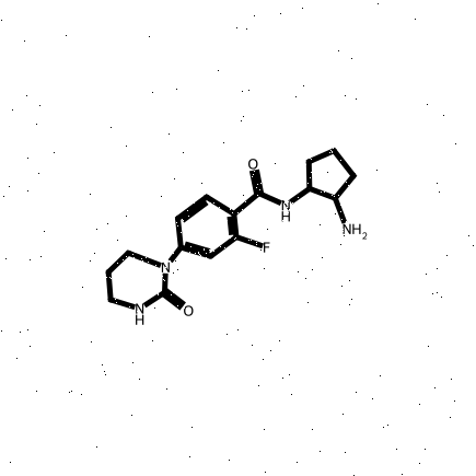 NC1CCCC1NC(=O)c1ccc(N2CCCNC2=O)cc1F